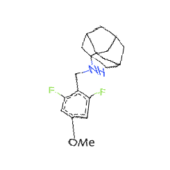 COc1cc(F)c(CNC23CC4CC(CC(C4)C2)C3)c(F)c1